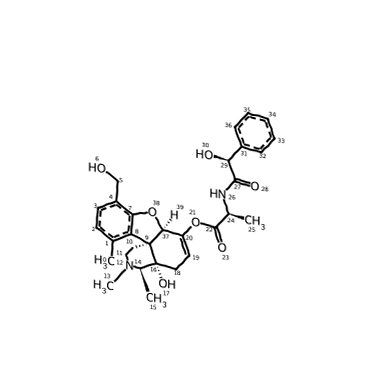 Cc1ccc(CO)c2c1[C@]13CCN(C)[C@H](C)[C@]1(O)CC=C(OC(=O)[C@H](C)NC(=O)[C@@H](O)c1ccccc1)[C@@H]3O2